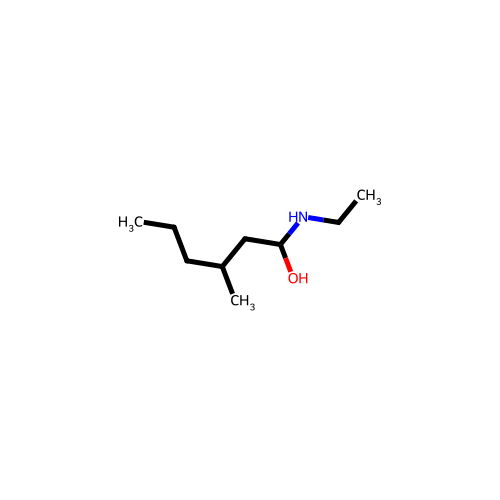 CCCC(C)CC(O)NCC